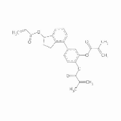 C=CC(=O)OC1CCc2c(-c3ccc(OC(=O)C(=C)C)c(OC(=O)C(=C)C)c3)cccc21